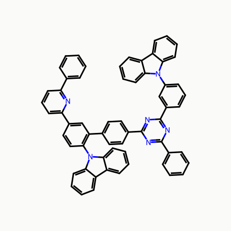 c1ccc(-c2cccc(-c3ccc(-n4c5ccccc5c5ccccc54)c(-c4ccc(-c5nc(-c6ccccc6)nc(-c6cccc(-n7c8ccccc8c8ccccc87)c6)n5)cc4)c3)n2)cc1